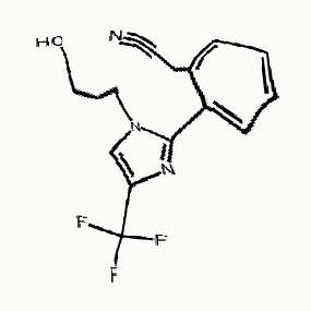 N#Cc1ccccc1-c1nc(C(F)(F)F)cn1CCO